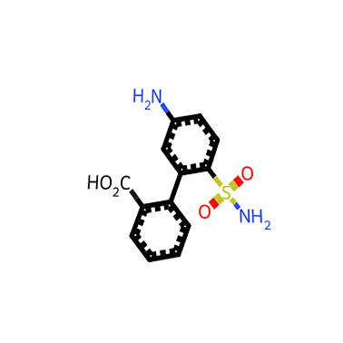 Nc1ccc(S(N)(=O)=O)c(-c2ccccc2C(=O)O)c1